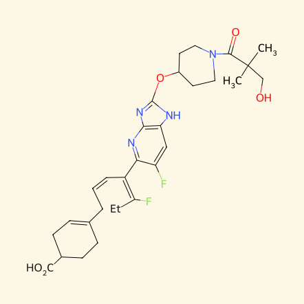 CC/C(F)=C(\C=C/CC1=CCC(C(=O)O)CC1)c1nc2nc(OC3CCN(C(=O)C(C)(C)CO)CC3)[nH]c2cc1F